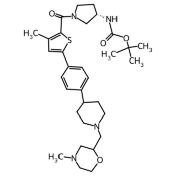 Cc1cc(-c2ccc(C3CCN(CC4CN(C)CCO4)CC3)cc2)sc1C(=O)N1CC[C@H](NC(=O)OC(C)(C)C)C1